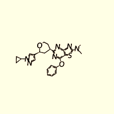 CN(C)c1nc2nc([C@@H]3CCO[C@H](c4cnn(C5CC5)c4)C3)nc(Oc3ccccc3)c2s1